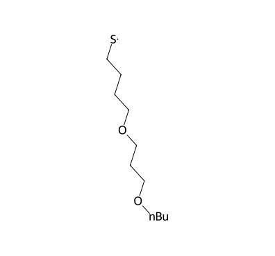 CCCCOCCCOCCCC[S]